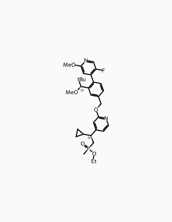 CCOP(C)(=O)C[C@H](c1ccnc(OCc2ccc(-c3cc(OC)ncc3F)c([C@@H](OC)C(C)(C)C)c2)c1)C1CC1